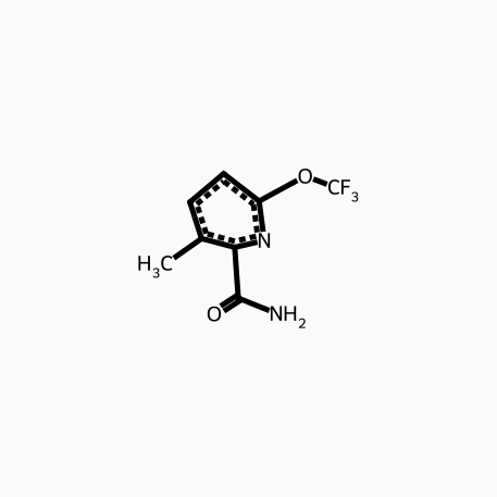 Cc1ccc(OC(F)(F)F)nc1C(N)=O